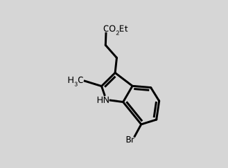 CCOC(=O)CCc1c(C)[nH]c2c(Br)cccc12